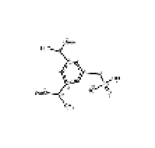 COC(C)c1cc(CP(=O)(O)O)cc(C(C)OC)c1